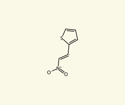 O=[N+]([O-])/C=[C]/c1cccs1